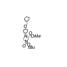 COC(=O)C1CN(C(=O)OC(C)(C)C)CCN1c1ccc(OCc2ccccc2)cc1